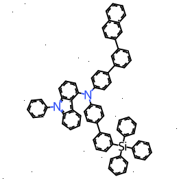 c1ccc(-n2c3ccccc3c3c(N(c4ccc(-c5cccc(-c6ccc7ccccc7c6)c5)cc4)c4ccc(-c5cccc([Si](c6ccccc6)(c6ccccc6)c6ccccc6)c5)cc4)cccc32)cc1